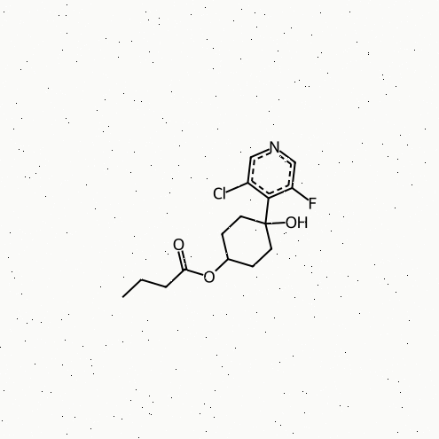 CCCC(=O)OC1CCC(O)(c2c(F)cncc2Cl)CC1